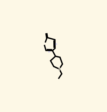 C=C(C)/C=C\C(=C/C)C1CCN(CC)CC1